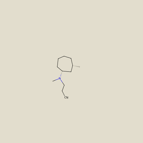 C[C@H]1CCCC[C@@H](N(C)CCC#N)C1